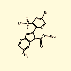 CCS(=O)(=O)c1cc(Br)cnc1-c1cc2ncc(C)cc2n1C(=O)OC(C)(C)C